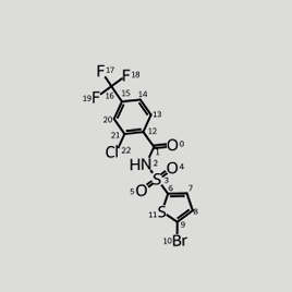 O=C(NS(=O)(=O)c1ccc(Br)s1)c1ccc(C(F)(F)F)cc1Cl